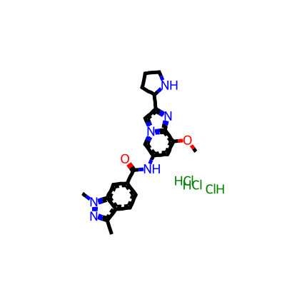 COc1cc(NC(=O)c2ccc3c(C)nn(C)c3c2)cn2cc(C3CCCN3)nc12.Cl.Cl.Cl